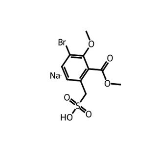 COC(=O)c1c(CS(=O)(=O)O)ccc(Br)c1OC.[Na]